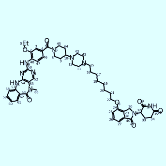 CCOc1cc(C(=O)N2CCC(N3CCN(CCCCCCCCOc4cccc5c4CN(C4CCC(=O)NC4=O)C5=O)CC3)CC2)ccc1Nc1ncc2c(n1)Nc1ccccc1C(=O)N2C